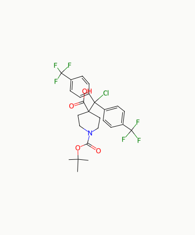 CC(C)(C)OC(=O)N1CCC(C(=O)O)(C(Cl)(c2ccc(C(F)(F)F)cc2)c2ccc(C(F)(F)F)cc2)CC1